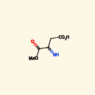 COC(=O)C(=N)CC(=O)O